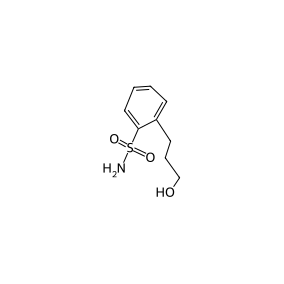 NS(=O)(=O)c1ccccc1CCCO